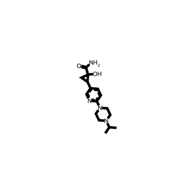 CC(C)N1CCN(c2ccc(C3CC3(O)C(N)=O)cn2)CC1